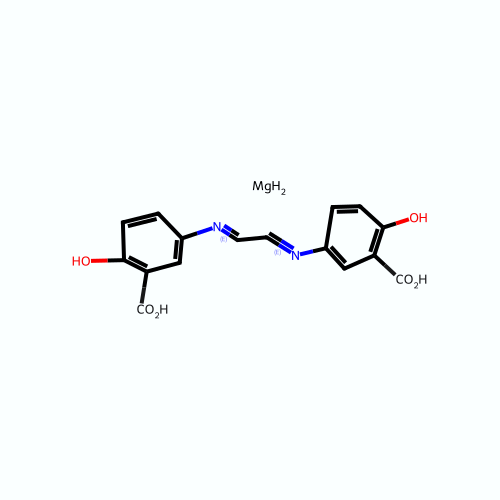 O=C(O)c1cc(/N=C/C=N/c2ccc(O)c(C(=O)O)c2)ccc1O.[MgH2]